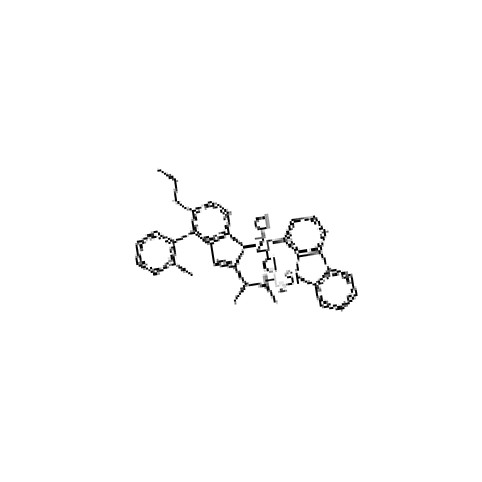 CCCc1ccc2c(c1-c1ccccc1C)C=C(C(C)CC)[CH]2[Zr]([Cl])([Cl])[c]1cccc2c1[SiH2]c1ccccc1-2